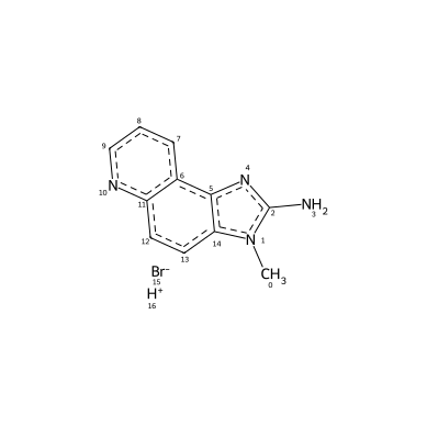 Cn1c(N)nc2c3cccnc3ccc21.[Br-].[H+]